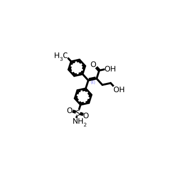 Cc1ccc(/C(=C(/CCO)C(=O)O)c2ccc(S(N)(=O)=O)cc2)cc1